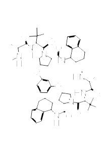 CN[C@@H](C)C(=O)N[C@H](C(=O)N1C[C@@H](Oc2cccc(O[C@H]3C[C@@H](C(=O)NC4CCCc5ccccc54)N(C(=O)[C@@H](NC(=O)[C@H](C)NC)C(C)(C)C)C3)c2)C[C@H]1C(=O)NC1CCCc2ccccc21)C(C)(C)C